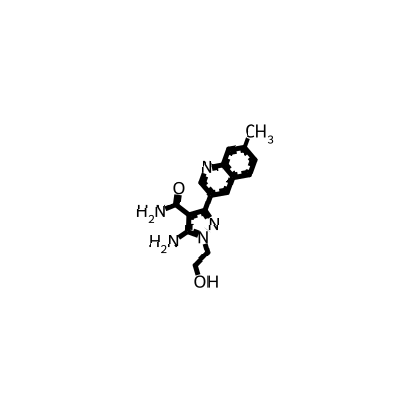 Cc1ccc2cc(-c3nn(CCO)c(N)c3C(N)=O)cnc2c1